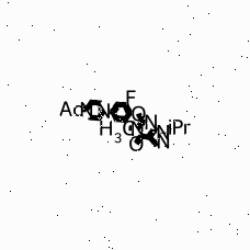 CC(=O)N1CCN(c2ccc(Oc3nc4c(cnn4C(C)C)c(=O)n3C)c(F)c2)CC1